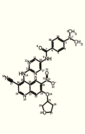 CN(C)c1ccc(C(=O)Nc2cnc(Nc3c(C#N)cnc4cc(OC5CCOC5)c([N+](=O)[O-])cc34)nc2)cc1